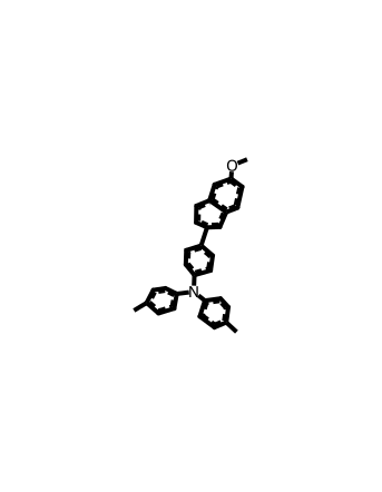 COc1ccc2cc(-c3ccc(N(c4ccc(C)cc4)c4ccc(C)cc4)cc3)ccc2c1